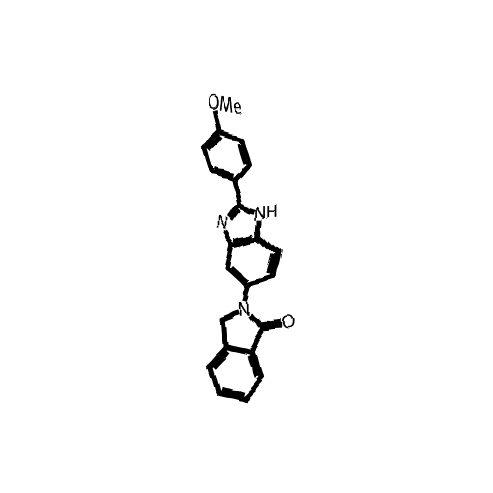 COc1ccc(-c2nc3cc(N4Cc5ccccc5C4=O)ccc3[nH]2)cc1